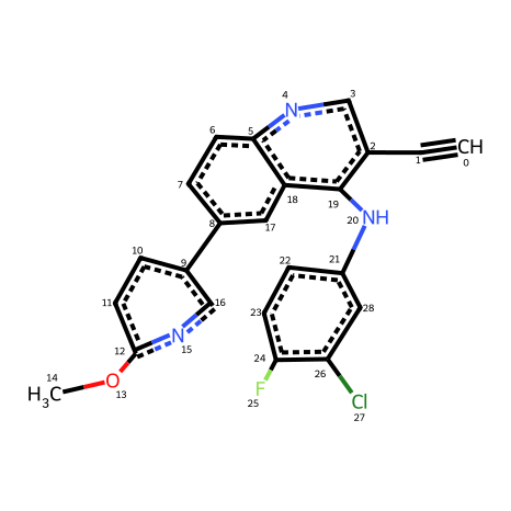 C#Cc1cnc2ccc(-c3ccc(OC)nc3)cc2c1Nc1ccc(F)c(Cl)c1